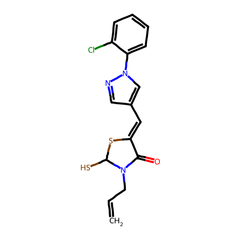 C=CCN1C(=O)/C(=C/c2cnn(-c3ccccc3Cl)c2)SC1S